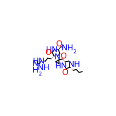 CCCC[C@H]1NC[C@@H](C(=O)C2(N3C[C@H](C(N)=O)NC(=O)[C@H]3CCCNC(=N)N)CC2)NC1=O